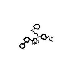 CCNc1ccc(N(CCN(C)C2CCCCC2)c2cc(-c3cccc(-c4ccccc4)c3)ncn2)cc1